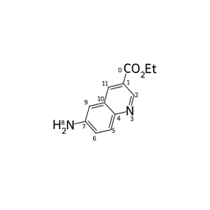 CCOC(=O)c1cnc2ccc(N)cc2c1